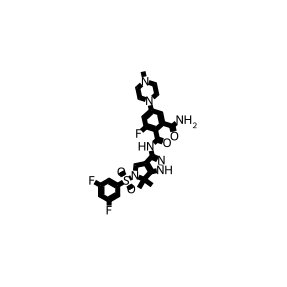 CN1CCN(c2cc(F)c(C(=O)Nc3n[nH]c4c3CN(S(=O)(=O)c3cc(F)cc(F)c3)C4(C)C)c(C(N)=O)c2)CC1